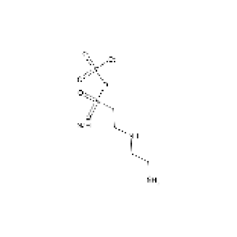 CCS(=O)(=O)OS(=O)(=O)CCNCCN.[NaH]